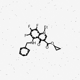 CCn1cc(C(=O)OC2CC2)c(=O)c2c(NCc3ccccc3)c(F)c(F)c(F)c21